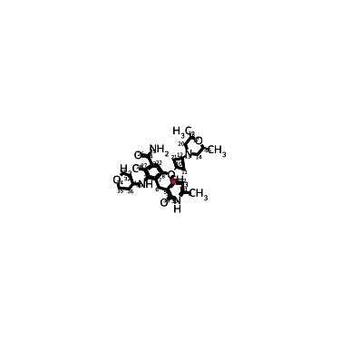 Cc1cc(C)c(Cc2c(O[C@H]3C[C@H](N4C[C@@H](C)O[C@@H](C)C4)C3)cc(C(N)=O)c(C)c2NC2CCOCC2)c(=O)[nH]1